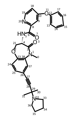 CN1C(=O)[C@@H](NC(=O)c2cc(Oc3ccccc3)ccn2)COc2ccc(C#CC(C)(C)N3CCCC3)cc21